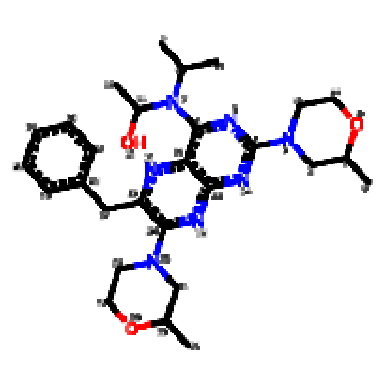 CC1CN(c2nc(N(C(C)C)C(C)O)c3nc(Cc4ccccc4)c(N4CCOC(C)C4)nc3n2)CCO1